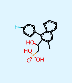 Cc1cc2ccccc2c(-c2ccc(F)cc2)c1C(O)CP(=O)(O)O